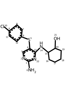 Nc1ncc(Sc2ccc(Cl)cc2)c(NC2CCCCC2O)n1